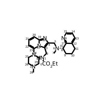 CCOC(=O)NCc1c(CN(C)[C@H]2CCCc3cccnc32)nc2cccc(N3CCN(C)CC3)n12